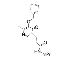 CCCNC(=O)CCC1C=NC(C)=C(OCc2ccccc2)C1=O